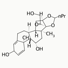 CCCC1O[C@@H]2C[C@H]3[C@@H]4CCC5=CC(O)C=C[C@]5(C)[C@H]4[C@@H](O)C[C@]3(C)[C@]2(C(=O)CO)O1